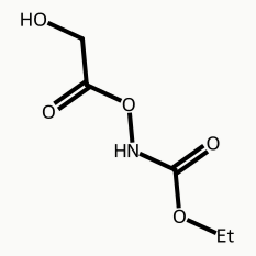 CCOC(=O)NOC(=O)CO